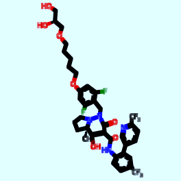 C[C@]12CCCN1N(Cc1c(F)cc(OCCCCCOC[C@@H](O)CO)cc1F)C(=O)C(C(=O)Nc1ccc(C(F)(F)F)cc1-c1ccc(C(F)(F)F)nc1)=C2O